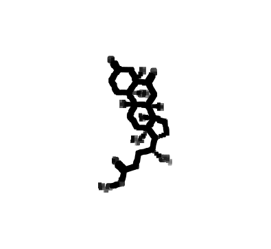 COC(=O)CC[C@@H](C)[C@H]1CC[C@H]2[C@@H]3CC(=O)[C@@H]4CC(=O)CC[C@]4(C)[C@H]3CC[C@]12C